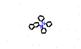 c1ccc(N(c2ccccc2)N(c2ccccc2)c2ccc3ccccc3c2)cc1